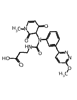 COc1ccc(-c2cccc(N(C(=O)NCCC(=O)O)C3C(=O)C=CN(C)C3=O)c2)nn1